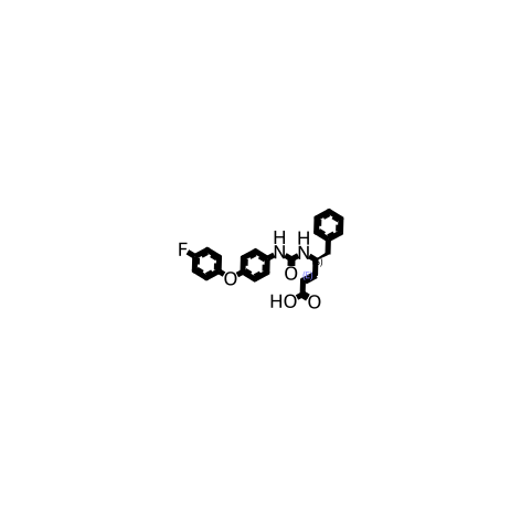 O=C(O)/C=C/[C@H](Cc1ccccc1)NC(=O)Nc1ccc(Oc2ccc(F)cc2)cc1